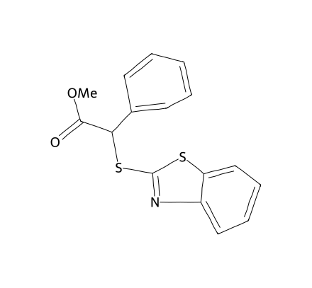 COC(=O)C(Sc1nc2ccccc2s1)c1ccccc1